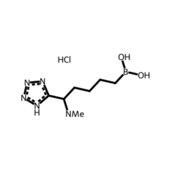 CNC(CCCCB(O)O)c1nnn[nH]1.Cl